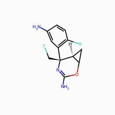 NC1=N[C@](CF)(c2cc(N)ccc2F)[C@H]2CC2O1